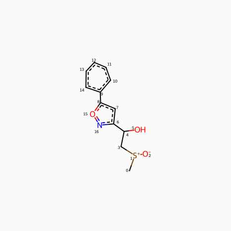 C[S+]([O-])CC(O)c1cc(-c2ccccc2)on1